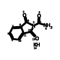 NC(=O)N1C(=O)c2ccccc2C1=O.[KH]